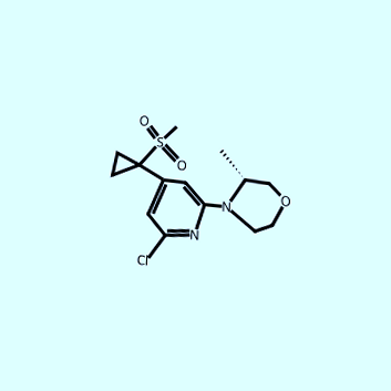 C[C@@H]1COCCN1c1cc(C2(S(C)(=O)=O)CC2)cc(Cl)n1